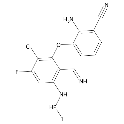 N#Cc1cccc(Oc2c(Cl)c(F)cc(NPI)c2C=N)c1N